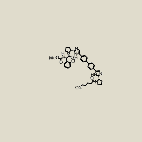 COC(=O)N[C@@H](C(=O)N1CCC[C@H]1c1ncc(-c2ccc(-c3ccc(-c4cnc([C@@H]5CCCN5C(=O)CCCCN=O)[nH]4)cc3)cc2)[nH]1)c1ccccc1Cl